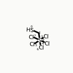 SCS(Cl)(Cl)(Cl)(Cl)Cl